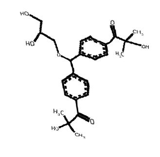 CC(C)(O)C(=O)c1ccc(C(OCC(O)CO)c2ccc(C(=O)C(C)(C)O)cc2)cc1